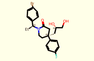 CC[C@@H](c1ccc(Br)cc1)N1CC[C@](C[C@H](O)CO)(c2ccc(F)cc2)CC1=O